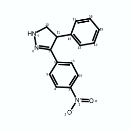 O=[N+]([O-])c1ccc(C2=NNCC2c2ccccc2)cc1